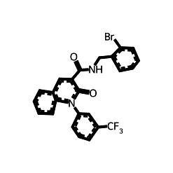 O=C(NCc1ccccc1Br)c1cc2ccccc2n(-c2cccc(C(F)(F)F)c2)c1=O